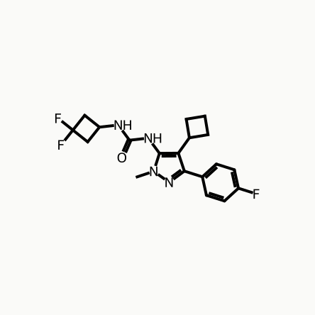 Cn1nc(-c2ccc(F)cc2)c(C2CCC2)c1NC(=O)NC1CC(F)(F)C1